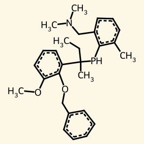 CCC(C)(Pc1c(C)cccc1CN(C)C)c1cccc(OC)c1OCc1ccccc1